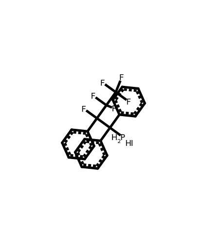 FC(F)(F)C(F)(F)C(F)(c1ccccc1)C(P)(c1ccccc1)c1ccccc1.I